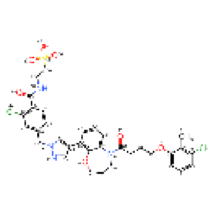 Cc1c(Cl)cccc1OCCCC(=O)N1CCCOc2c(-c3cnn(Cc4ccc(C(=O)NCCS(=O)(=O)O)c(Cl)c4)c3)cccc21